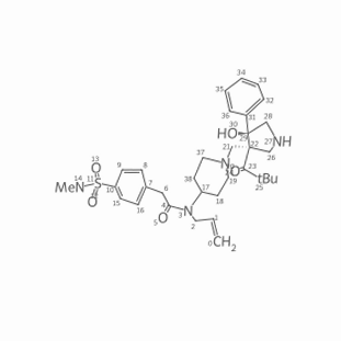 C=CCN(C(=O)Cc1ccc(S(=O)(=O)NC)cc1)C1CCN(C[C@@]2(C(=O)C(C)(C)C)CNC[C@@]2(O)c2ccccc2)CC1